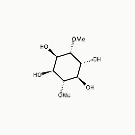 CO[C@@H]1[C@H](O)[C@@H](O)[C@H](OC)[C@@H](O)[C@H]1O